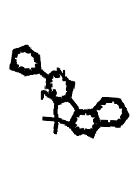 CC1(C)c2ccc3ccccc3c2-c2cnc(-c3ccccc3)nc21